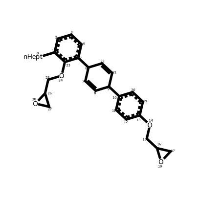 CCCCCCCc1cccc(C2C=CC(c3ccc(OCC4CO4)cc3)C=C2)c1OCC1CO1